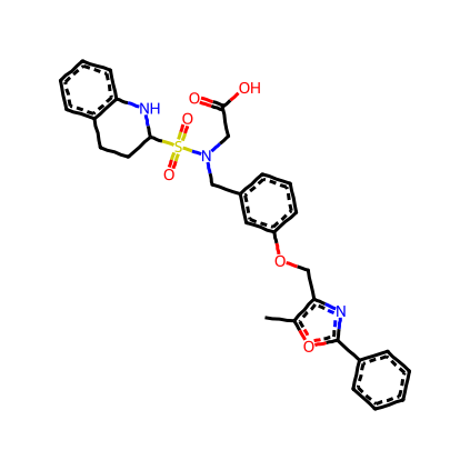 Cc1oc(-c2ccccc2)nc1COc1cccc(CN(CC(=O)O)S(=O)(=O)C2CCc3ccccc3N2)c1